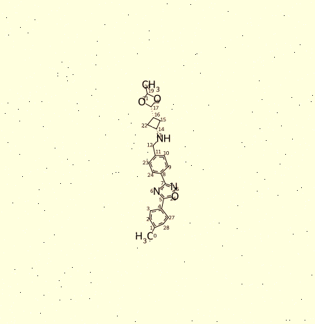 Cc1ccc(-c2nc(-c3ccc(CN[C@H]4C[C@@H](C5OC(C)O5)C4)cc3)no2)cc1